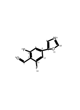 O=Cc1c(F)cc(-c2cnco2)cc1F